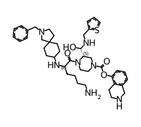 NCCCC[C@@H](NC1CCC2(CC1)CCN(Cc1ccccc1)C2)C(=O)N1CCN(C(=O)Oc2cccc3c2CCNC3)C[C@H]1C(O)NCc1cccs1